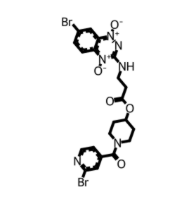 O=C(CCNc1n[n+]([O-])c2cc(Br)ccc2[n+]1[O-])OC1CCN(C(=O)c2ccnc(Br)c2)CC1